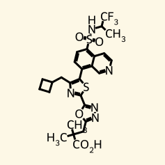 CC(NS(=O)(=O)c1ccc(-c2sc(-c3nnc(CC(C)(C)C(=O)O)o3)nc2CC2CCC2)c2cnccc12)C(F)(F)F